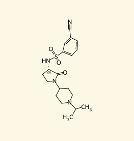 CC(C)N1CCC(N2CC[C@H](NS(=O)(=O)c3cccc(C#N)c3)C2=O)CC1